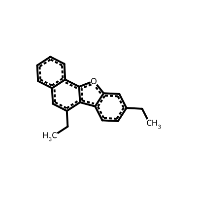 CCc1ccc2c(c1)oc1c3ccccc3cc(CC)c21